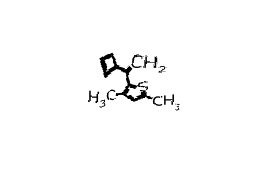 C=C(c1sc(C)cc1C)C1C=C=C1